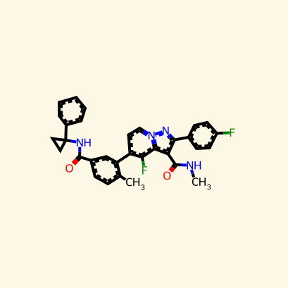 CNC(=O)c1c(-c2ccc(F)cc2)nn2ccc(-c3cc(C(=O)NC4(c5ccccc5)CC4)ccc3C)c(F)c12